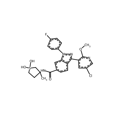 COc1ncc(Cl)cc1-c1nn(-c2ccc(F)cc2)c2cc(C(=O)NC3(C)CCS(O)(O)C3)ccc12